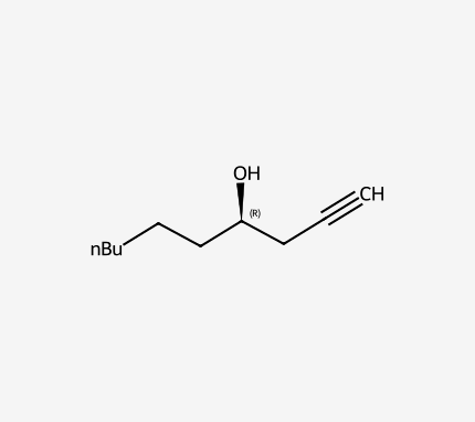 C#CC[C@H](O)CCCCCC